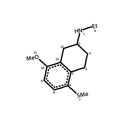 CCNC1CCc2c(SC)ccc(OC)c2C1